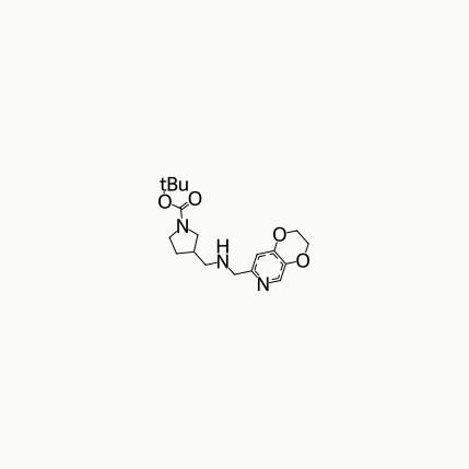 CC(C)(C)OC(=O)N1CCC(CNCc2cc3c(cn2)OCCO3)C1